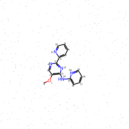 COc1cnc(-c2ccccn2)nc1Nc1ccccn1